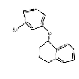 CCC(C)c1cccc(OC2CCCc3ccccc32)c1